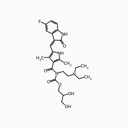 CCN(CC)CCN(C(=O)OCC(O)CO)C(=O)c1c(C)[nH]c(C=C2C(=O)Nc3ccc(F)cc32)c1C